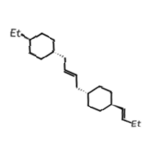 CCC=C[C@H]1CC[C@H](CC=CC[C@H]2CC[C@H](CC)CC2)CC1